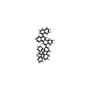 c1ccc2c(c1)-c1sc3ccccc3c1C21c2cc(-c3cc4c5ccccc5c(-c5cccc6ccccc56)cc4c4ccccc34)ccc2-c2ncccc21